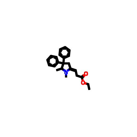 CCOC(=O)CC=C1CC(c2ccccc2)(c2ccccc2)C(C)N1C